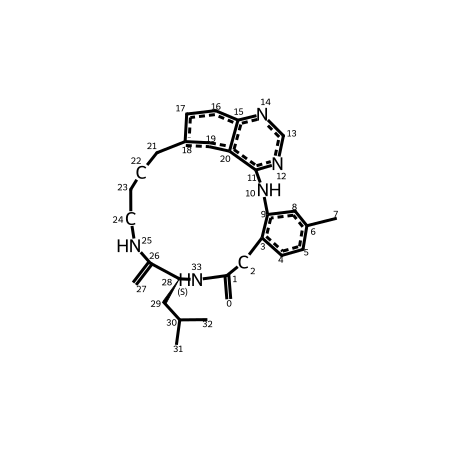 C=C1Cc2ccc(C)cc2Nc2ncnc3ccc(cc23)CCCCNC(=C)[C@H](CC(C)C)N1